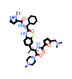 CCn1nccc1C(=O)N[C@H](C(=O)Nc1ccc([C@H](C)[C@@H](NC(=O)c2ccc(CN(C)C)o2)C(=O)N2CCN(C)CC2)cc1F)C1CCCCC1